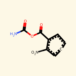 NC(=O)OC(=O)c1ccccc1[N+](=O)[O-]